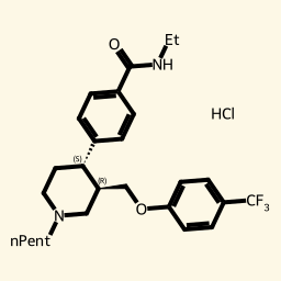 CCCCCN1CC[C@H](c2ccc(C(=O)NCC)cc2)[C@@H](COc2ccc(C(F)(F)F)cc2)C1.Cl